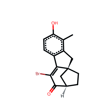 Cc1c(O)ccc2c1C[C@@]13CC[C@H](C1)C(=O)C(Br)=C23